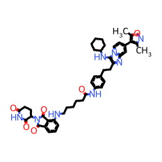 Cc1noc(C)c1-c1ccn2c(NC3CCCCC3)c(CCc3ccc(NC(=O)CCCCCNc4cccc5c4C(=O)N(C4CCC(=O)NC4=O)C5=O)cc3)nc2c1